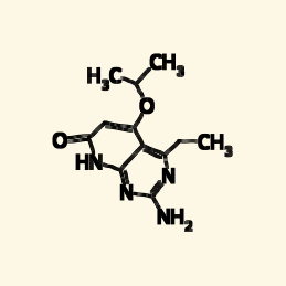 CCc1nc(N)nc2[nH]c(=O)cc(OC(C)C)c12